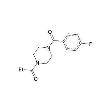 CCC(=O)N1CCN(C(=O)c2ccc(F)cc2)CC1